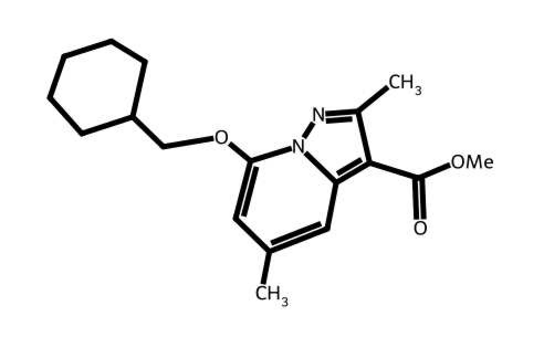 COC(=O)c1c(C)nn2c(OCC3CCCCC3)cc(C)cc12